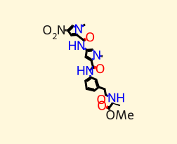 COC(=O)[C@H](C)NC(=O)Cc1cccc(NC(=O)c2cc(NC(=O)c3cc([N+](=O)[O-])cn3C)cn2C)c1